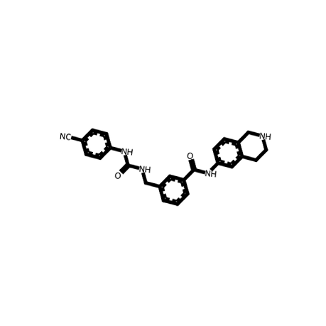 N#Cc1ccc(NC(=O)NCc2cccc(C(=O)Nc3ccc4c(c3)CCNC4)c2)cc1